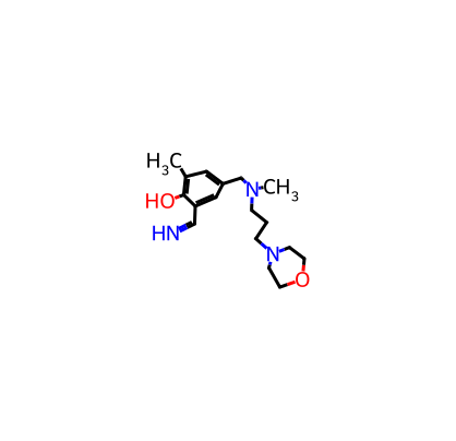 Cc1cc(CN(C)CCCN2CCOCC2)cc(C=N)c1O